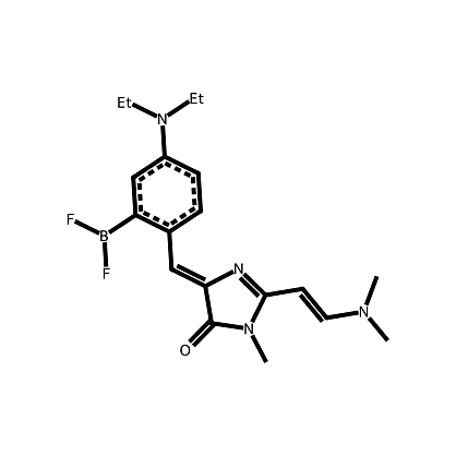 CCN(CC)c1ccc(/C=C2N=C(/C=C/N(C)C)N(C)C\2=O)c(B(F)F)c1